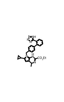 CCOC(=O)C1=NC(C)c2cc(C3CC3)n(Cc3ccc(-c4ccccc4-c4nnn[nH]4)cc3)c2N1